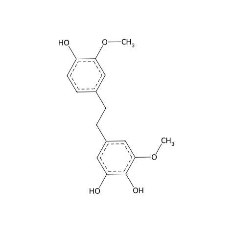 COc1cc(CCc2cc(O)c(O)c(OC)c2)ccc1O